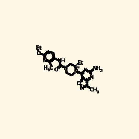 CCOc1ccc(NC(=O)N2CCN(c3nc(N)nc4c(C)noc34)[C@@H](CC)C2)c(C)n1